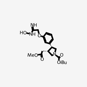 COC(=O)C[C@H]1CN(C(=O)OCC(C)C)C[C@H]1c1cccc(OCC(=N)NO)c1